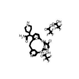 NC(=O)C(c1ccc2cc1CCc1cncc(c1)Nc1ncc(Cl)c(n1)N2)C1CCNCC1.O=C(O)C(F)(F)F.O=C(O)C(F)(F)F.O=C(O)C(F)(F)F